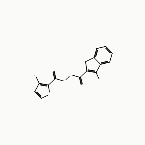 O=C(NNC(=O)c1sccc1Br)C1=C(Cl)c2ccccc2C1